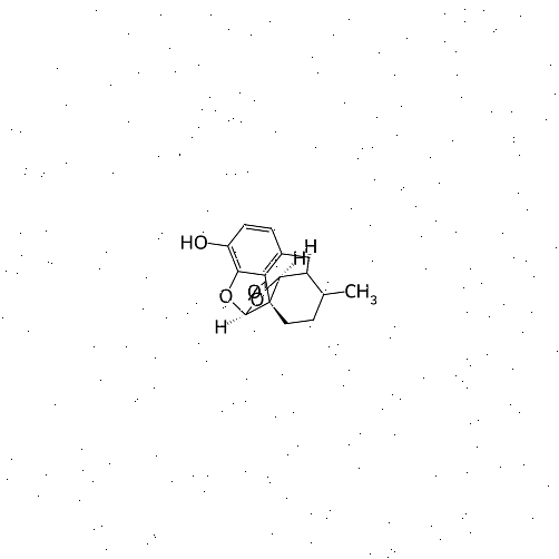 CC1CC[C@]23c4c5ccc(O)c4O[C@H]2OCCOCC[C@H]3[C@H]1C5